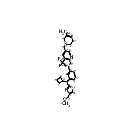 COCc1csc(C(c2cccc(NCc3ncc(CN4CCC=C(C)C4)cc3C(F)(F)F)c2)C2CCC2)n1